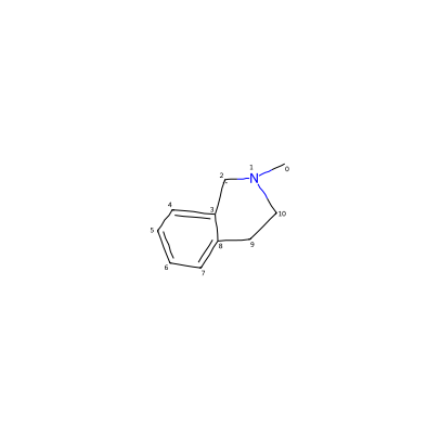 CN1[C]c2ccccc2CC1